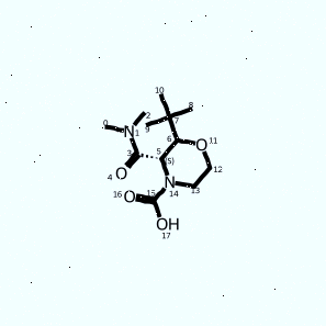 CN(C)C(=O)[C@@H]1C(C(C)(C)C)OCCN1C(=O)O